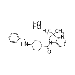 CC1(C)CN(C(=O)[C@H]2CC[C@H](NCc3ccccc3)CC2)c2cccnc21.Cl.Cl